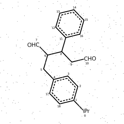 CC(C)c1ccc(CC(C=O)C(CC=O)c2ccccc2)cc1